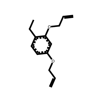 C=CCOc1ccc(CC)c(OCC=C)c1